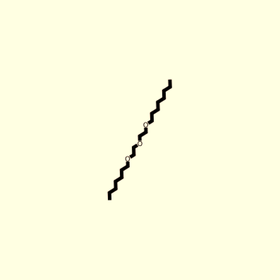 CCCCCCCCOCCOCCOCCCCCCC